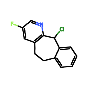 Fc1cnc2c(c1)CCc1ccccc1C2Cl